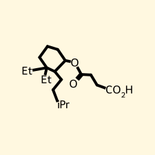 CCC1(CC)CCCC(OC(=O)CCC(=O)O)C1CCC(C)C